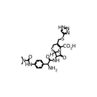 CN(C)C(=O)Nc1ccc(C(N)C(=O)NC2C(=O)N3C(C(=O)O)=C(CSc4c[nH]nn4)CS[C@H]23)cc1